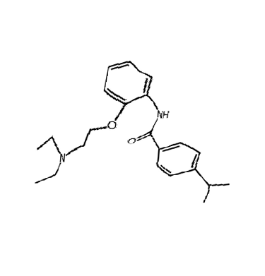 CCN(CC)CCOc1ccccc1NC(=O)c1ccc(C(C)C)cc1